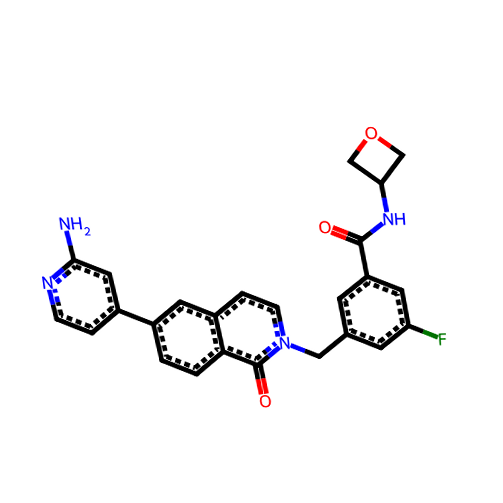 Nc1cc(-c2ccc3c(=O)n(Cc4cc(F)cc(C(=O)NC5COC5)c4)ccc3c2)ccn1